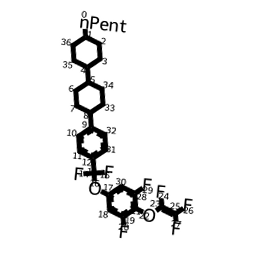 CCCCCC1CCC(C2CCC(c3ccc(C(F)(F)Oc4cc(F)c(OC(F)=C(F)F)c(F)c4)cc3)CC2)CC1